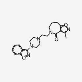 Cc1noc2c1C(=O)N(CCN1CCN(c3noc4ccccc34)CC1)CCC2